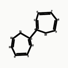 C1=CC=C(C2=CC=CC=CC2)CC=C1